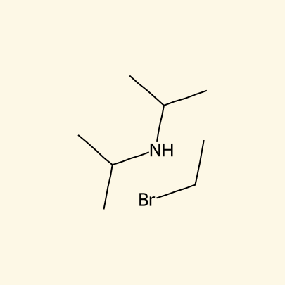 CC(C)NC(C)C.CCBr